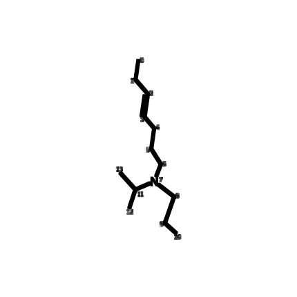 CC/C=C/CCCN(CCC)C(C)C